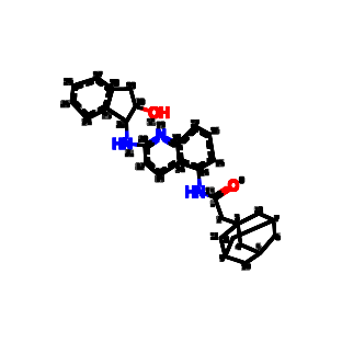 O=C(CC12CC3CC(CC(C3)C1)C2)Nc1cccc2nc(NC3c4ccccc4CC3O)ccc12